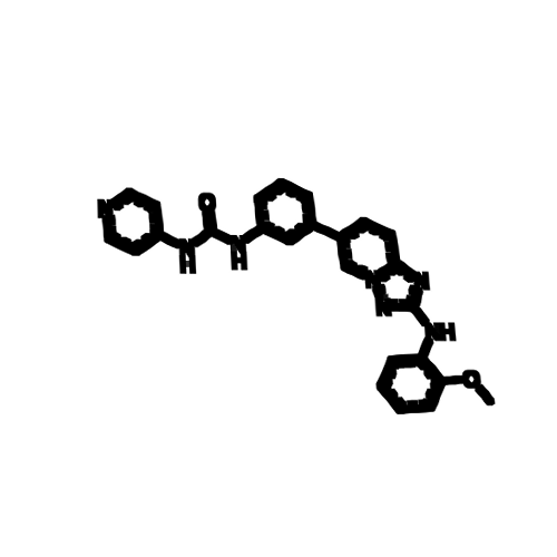 COc1ccccc1Nc1nc2ccc(-c3cccc(NC(=O)Nc4ccncc4)c3)cn2n1